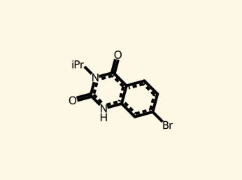 CC(C)n1c(=O)[nH]c2cc(Br)ccc2c1=O